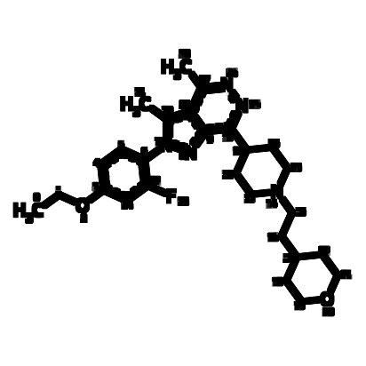 CCOc1ccc(-n2nc3c(C4CCN(CCC5CCOCC5)CC4)nnc(C)c3c2C)c(F)c1